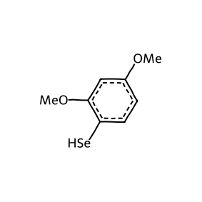 COc1ccc([SeH])c(OC)c1